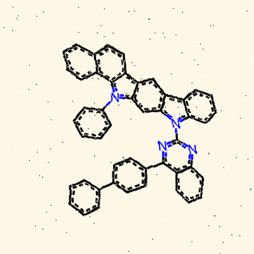 c1ccc(-c2ccc(-c3nc(-n4c5ccccc5c5cc6c7ccc8ccccc8c7n(-c7ccccc7)c6cc54)nc4ccccc34)cc2)cc1